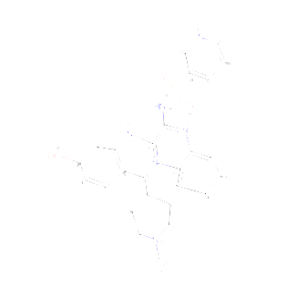 CC(=O)N1CCC(Cc2ccc(O)cc2Nc2nc3ccccc3nc2NS(=O)(=O)c2cccnc2)CC1